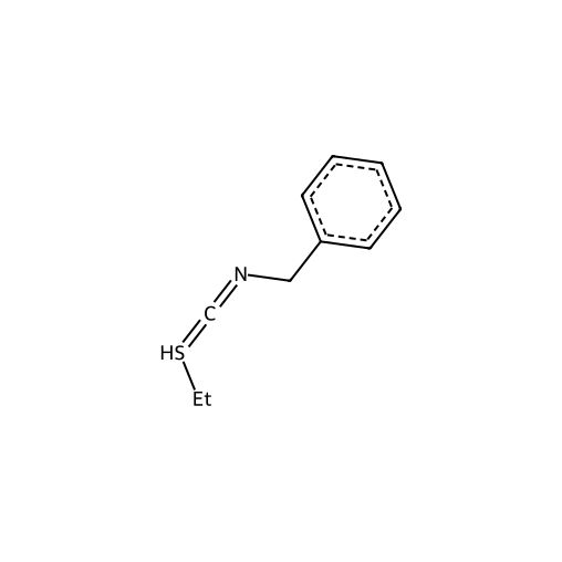 CC[SH]=C=NCc1ccccc1